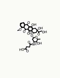 COc1cccc2c1C(=O)c1c(O)c3c(c(O)c1C2=O)C[C@@](O)(C(=O)CO)C[C@@H]3O[C@H]1C[C@@H](NC(=O)CCC(=O)O)[C@H](O)C(C)O1